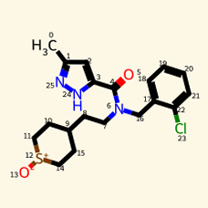 Cc1cc(C(=O)N(CCC2CC[S+]([O-])CC2)Cc2ccccc2Cl)[nH]n1